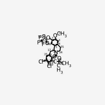 COc1cc2c(cc1OS(=O)(=O)C(F)(F)F)C(Cc1ccc(Cl)c(Cl)c1)N(C(=O)OC(C)(C)C)CC2